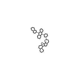 c1cc(-c2ccc3ccc4c(oc5ccc6ccccc6c54)c3c2)cc(-c2c3ccccc3c(-c3ccc4ccccc4c3)c3ccccc23)c1